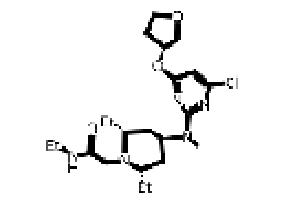 CCNC(=O)CN1[C@H](CC)C[C@@H](N(C)c2nc(Cl)cc(O[C@H]3CCOC3)n2)C[C@@H]1CC